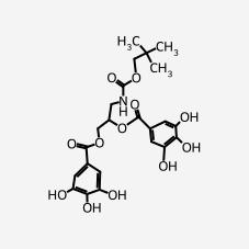 CC(C)(C)COC(=O)NCC(COC(=O)c1cc(O)c(O)c(O)c1)OC(=O)c1cc(O)c(O)c(O)c1